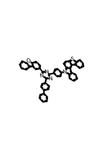 c1ccc(-c2ccc(-c3nc(-c4ccc(-n5c6ccccc6c6c7c(ccc65)sc5ccccc57)cc4)nc(-c4ccc5oc6ccccc6c5c4)n3)cc2)cc1